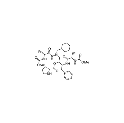 COC(=O)N[C@H](C(=O)NC(Cc1ccccc1)C(CN(CC1CCCCC1)NC(=O)[C@@H](NC(=O)OC)C(C)C)OC(=O)[C@H]1CCCN1)C(C)C